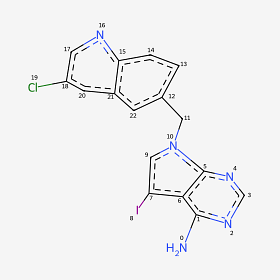 Nc1ncnc2c1c(I)cn2Cc1ccc2ncc(Cl)cc2c1